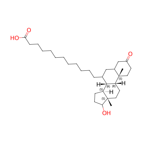 C[C@]12CCC(=O)CC1CC(CCCCCCCCCCCC(=O)O)[C@@H]1[C@H]2CC[C@]2(C)C(O)CC[C@@H]12